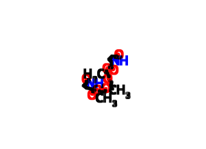 CC(COCC(C)OC(=O)C1CCC(=O)N1)OCC(C)OC(=O)C1CCC(=O)N1